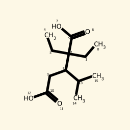 CCC(CC)(C(=O)O)C(CC(=O)O)C(C)C